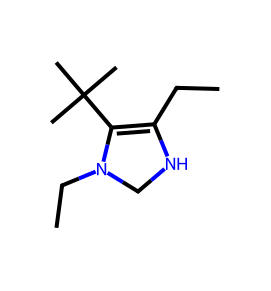 CCC1=C(C(C)(C)C)N(CC)CN1